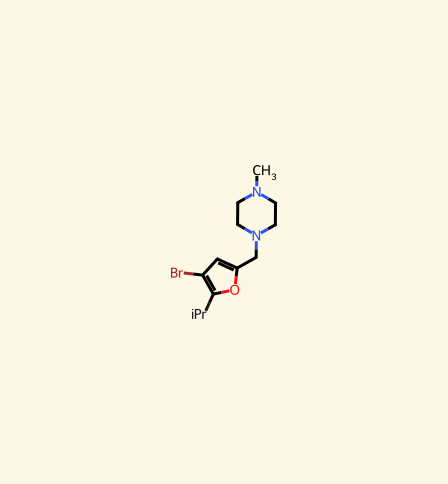 CC(C)c1oc(CN2CCN(C)CC2)cc1Br